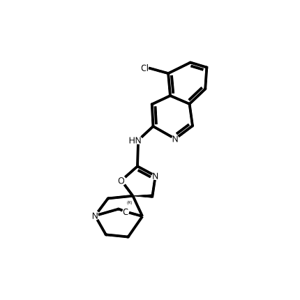 Clc1cccc2cnc(NC3=NC[C@@]4(CN5CCC4CC5)O3)cc12